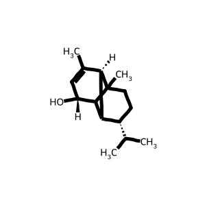 CC1=C[C@@H](O)C2C3[C@@H](C(C)C)CCC2(C)[C@H]13